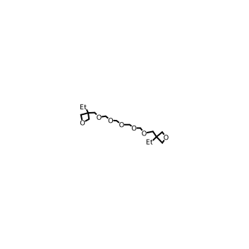 CCC1(COCOCOCOCOCC2(CC)COC2)COC1